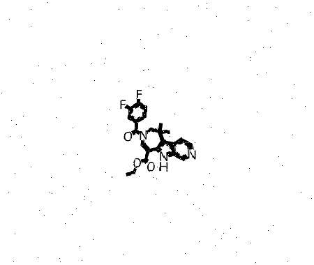 CCOC(=O)C1=CN(C(=O)c2ccc(F)c(F)c2)CC(C)(C)c2c1[nH]c1cnccc21